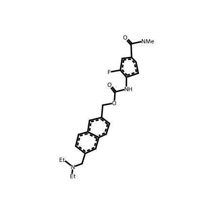 CCN(CC)Cc1ccc2cc(COC(=O)Nc3ccc(C(=O)NC)cc3F)ccc2c1